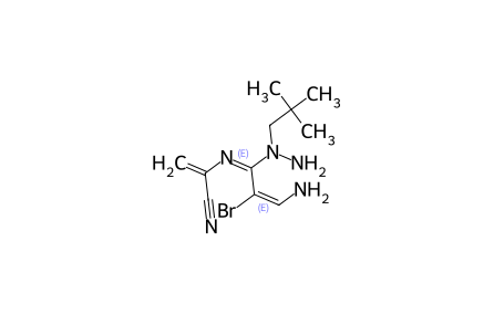 C=C(C#N)/N=C(\C(Br)=C/N)N(N)CC(C)(C)C